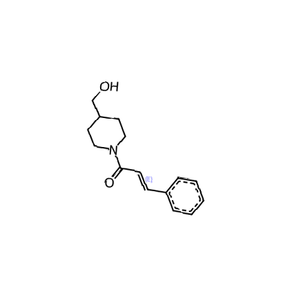 O=C(/C=C/c1ccccc1)N1CCC(CO)CC1